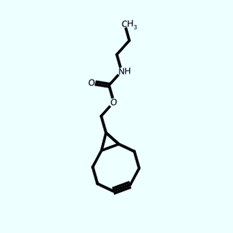 CCCNC(=O)OCC1C2CCC#CCCC21